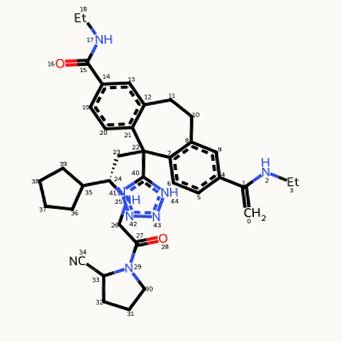 C=C(NCC)c1ccc2c(c1)CCc1cc(C(=O)NCC)ccc1C2(C[C@H](NCC(=O)N1CCCC1C#N)C1CCCC1)c1nnn[nH]1